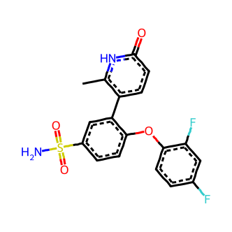 Cc1[nH]c(=O)ccc1-c1cc(S(N)(=O)=O)ccc1Oc1ccc(F)cc1F